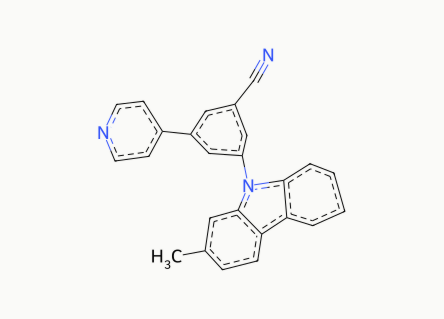 Cc1ccc2c3ccccc3n(-c3cc(C#N)cc(-c4ccncc4)c3)c2c1